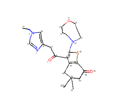 Cn1cnc(CC(=O)c2c(N3CCOCC3)sc3c2CC(C)(C)CC3=O)c1